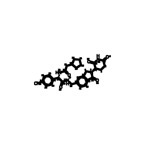 O=C1CCC(N2Cc3cc(CNC(=O)[C@@H](NC(=O)CC4CCCC4)c4ccc(Cl)cc4)ccc3C2=O)C(=O)N1